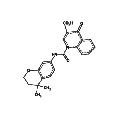 CC1(C)CCOc2cc(NC(=O)n3cc(C(=O)O)c(=O)c4ccccc43)ccc21